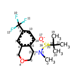 CN([C@@H]1COCc2cc(C(F)(F)F)ccc21)[S@+]([O-])C(C)(C)C